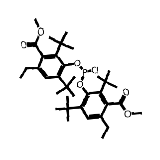 CCc1cc(C(C)(C)C)c(OP(Cl)Oc2c(C(C)(C)C)cc(CC)c(C(=O)OC)c2C(C)(C)C)c(C(C)(C)C)c1C(=O)OC